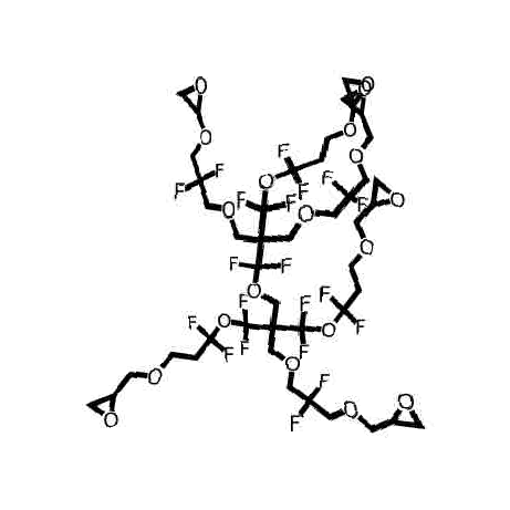 FC(F)(COCC1CO1)COCC(COCC(F)(F)COC1CO1)(C(F)(F)OCC(COCC(F)(F)COCC1CO1)(C(F)(F)OC(F)(F)CCOCC1CO1)C(F)(F)OC(F)(F)CCOCC1CO1)C(F)(F)OC(F)(F)CCOC1CO1